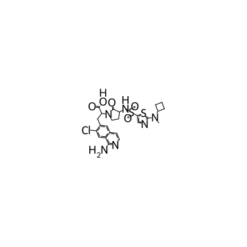 CN(c1ncc(S(=O)(=O)NC2CCN(C(Cc3cc4ccnc(N)c4cc3Cl)C(=O)O)C2=O)s1)C1CCC1